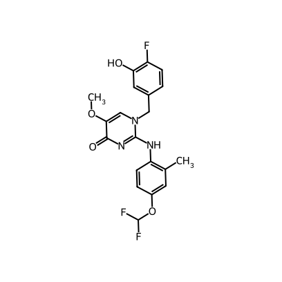 COc1cn(Cc2ccc(F)c(O)c2)c(Nc2ccc(OC(F)F)cc2C)nc1=O